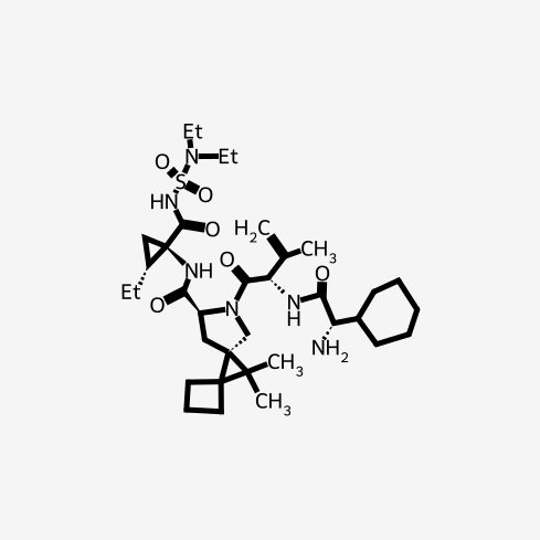 C=C(C)[C@H](NC(=O)[C@@H](N)C1CCCCC1)C(=O)N1C[C@]2(C[C@H]1C(=O)N[C@]1(C(=O)NS(=O)(=O)N(CC)CC)C[C@H]1CC)C(C)(C)C21CCC1